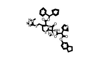 CO[C@@]1(NC(=O)C(C(=O)Oc2ccc3c(c2)CCC3)c2ccsc2)C(=O)N2C(C(=O)OC(c3ccccc3)c3ccccc3)=C(CSc3nnnn3C)CS[C@@H]21